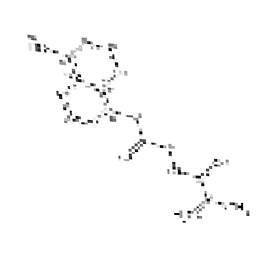 C=C(C)C(=O)OCC(=O)Cc1cccc2c(O)cccc12